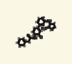 Cn1nccc1Nc1nccc(-c2ccc(NC(=O)Cc3ccccc3)c(Cl)c2)n1